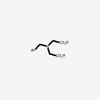 CC(C)CN(CC(=O)O)CC(=O)O